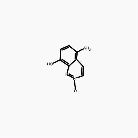 Nc1ccc(O)c2n[n+]([O-])ccc12